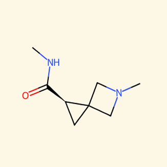 CNC(=O)[C@@H]1CC12CN(C)C2